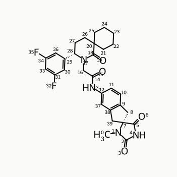 CN1C(=O)NC(=O)[C@@]12Cc1ccc(NC(=O)CN3C(=O)C4(CCCCC4)CC[C@H]3c3cc(F)cc(F)c3)cc1C2